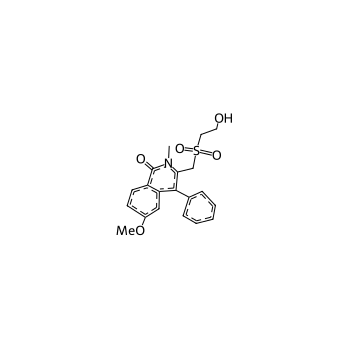 COc1ccc2c(=O)n(C)c(CS(=O)(=O)CCO)c(-c3ccccc3)c2c1